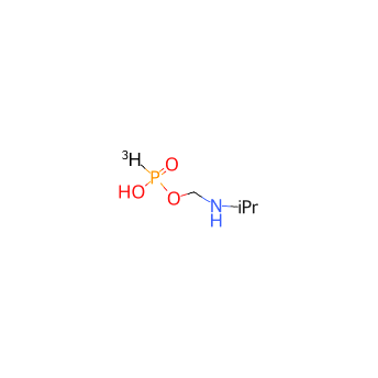 [3H]P(=O)(O)OCNC(C)C